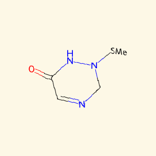 CSN1CN=CC(=O)N1